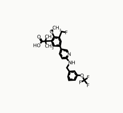 COc1c(CF)cc(-c2ccc(NCc3cccc(OC(F)(F)F)c3)nc2)cc1C(C)(C)C(=O)O